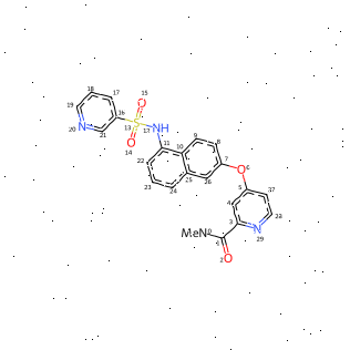 CNC(=O)c1cc(Oc2ccc3c(NS(=O)(=O)c4cccnc4)cccc3c2)ccn1